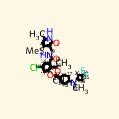 CSc1cc(C)[nH]c(=O)c1CNC(=O)c1cc(Cl)cc2c1C(C)OC(C)(C1CCC(N(C)C3CC(F)(F)C3)CC1)O2